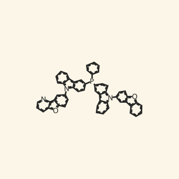 c1ccc(P(c2ccc3c(c2)c2ccccc2n3-c2ccc3oc4ccccc4c3c2)c2ccc3c(c2)c2ccccc2n3-c2ccc3oc4cccnc4c3c2)cc1